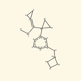 COC(=C1CC1)C1(c2cccc(CN3CCC3)c2)CC1